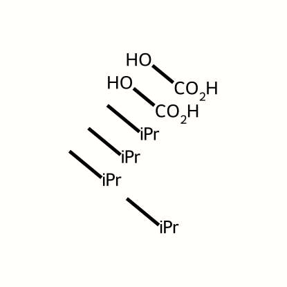 CC(C)C.CC(C)C.CC(C)C.CC(C)C.O=C(O)O.O=C(O)O